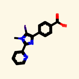 Cn1c(-c2ccccn2)nc(-c2ccc(C(=O)O)cc2)c1I